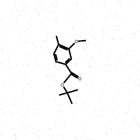 COc1cc(C(=O)OC(C)(C)C)ccc1C